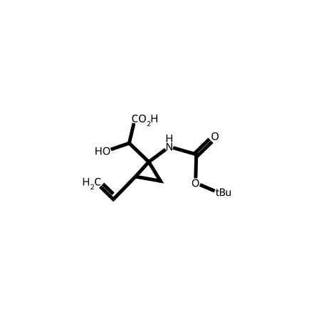 C=CC1CC1(NC(=O)OC(C)(C)C)C(O)C(=O)O